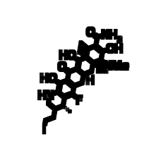 CC[C@@]12C[C@@H]3Cc4c(F)c5c(c(O)c4C(=O)C3=C(O)[C@@]13C1CC13C(C(N)=O)=C(O)[C@H]2NC)NCC(CCI)[C@H]5C